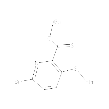 CCCSc1ccc(Br)nc1C(=S)OC(C)CC